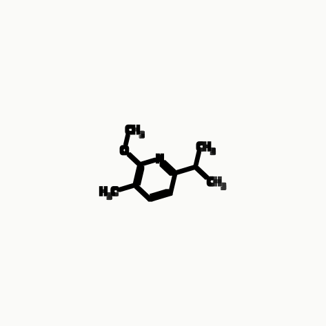 COc1nc(C(C)C)ccc1C